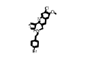 COc1cc2cc(CNCCc3ccc(Br)cc3)c(-c3ccsc3)nc2cc1Cl